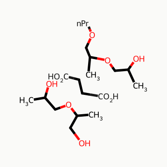 CC(O)COC(C)CO.CCCOCC(C)OCC(C)O.O=C(O)CCC(=O)O